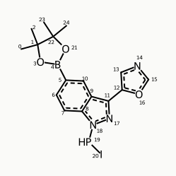 CC1(C)OB(c2ccc3c(c2)c(-c2cnco2)nn3PI)OC1(C)C